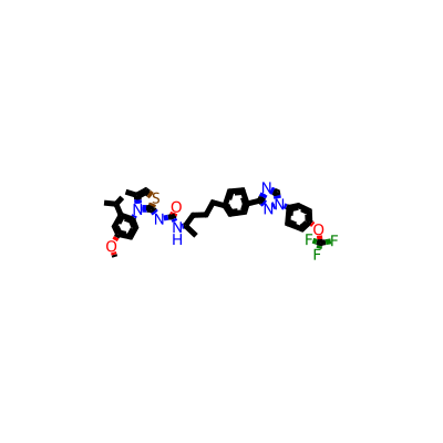 COc1ccc(-n2c(C)cs/c2=N\C(=O)NC(C)CCCc2ccc(-c3ncn(-c4ccc(OC(F)(F)F)cc4)n3)cc2)c(C(C)C)c1